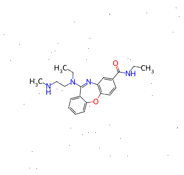 CCNC(=O)c1ccc2c(c1)N=C(N(CC)CCNC)c1ccccc1O2